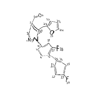 O=Cc1cnn(-c2ccc(-c3ccc(F)cc3)c(F)c2)c1-c1ccco1